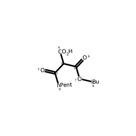 CCCCCC(=O)C(C(=O)O)C(=O)OC(C)CC